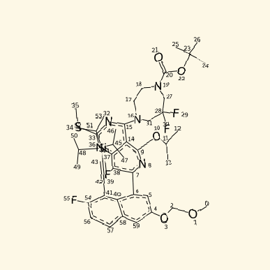 COCOc1cc(-c2nc(OC(C)C)c3c(N4CCN(C(=O)OC(C)(C)C)CC(F)(F)C4)nc(SC)nc3c2F)c2c(C#C[Si](C(C)C)(C(C)C)C(C)C)c(F)ccc2c1